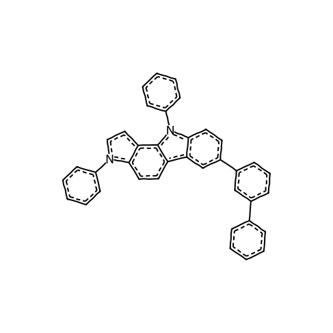 c1ccc(-c2cccc(-c3ccc4c(c3)c3ccc5c(ccn5-c5ccccc5)c3n4-c3ccccc3)c2)cc1